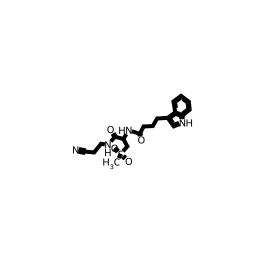 CS(=O)(=O)CC(NC(=O)CCCc1c[nH]c2ccccc12)C(=O)NCCC#N